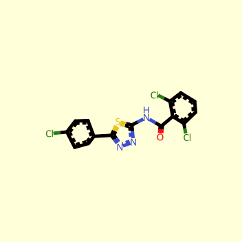 O=C(Nc1nnc(-c2ccc(Cl)cc2)s1)c1c(Cl)cccc1Cl